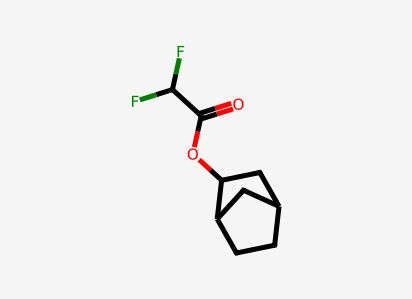 O=C(OC1CC2CCC1C2)C(F)F